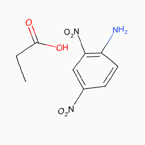 CCC(=O)O.Nc1ccc([N+](=O)[O-])cc1[N+](=O)[O-]